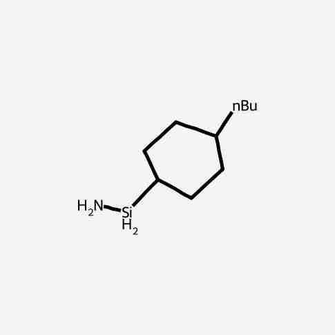 CCCCC1CCC([SiH2]N)CC1